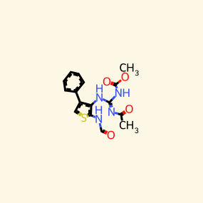 COC(=O)NC(=NC(C)=O)Nc1c(-c2ccccc2)csc1NC=O